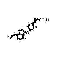 O=C(O)C1CC1c1ccc(OC2CCc3c(OC(F)(F)F)cccc32)cc1